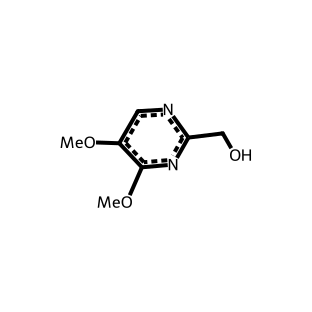 COc1cnc(CO)nc1OC